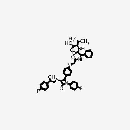 CC(C)[C@@H](NC(=O)[C@@H](NC(=O)COc1ccc(C2C(SCC(O)c3ccc(F)cc3)C(=O)N2c2ccc(F)cc2)cc1)c1ccccc1)C(=O)O